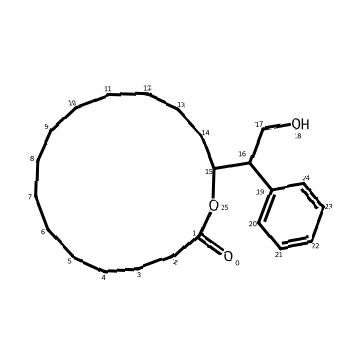 O=C1CCCCCCCCCCCCCC(C(CO)c2ccccc2)O1